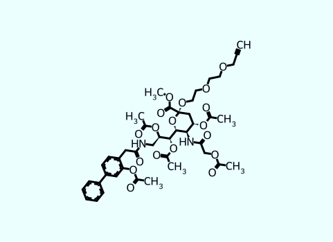 C#CCOCCOCCO[C@]1(C(=O)OC)C[C@H](OC(C)=O)[C@@H](NC(=O)COC(C)=O)[C@H]([C@H](OC(C)=O)[C@@H](CNC(=O)Cc2ccc(-c3ccccc3)cc2OC(C)=O)OC(C)=O)O1